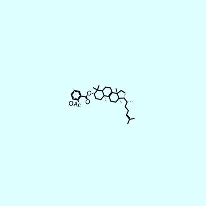 CC(=O)Oc1ccccc1C(=O)O[C@H]1CC[C@]2(C)C3=C(CCC2C1(C)C)[C@]1(C)CC[C@H]([C@H](C)CCC=C(C)C)[C@@]1(C)CC3